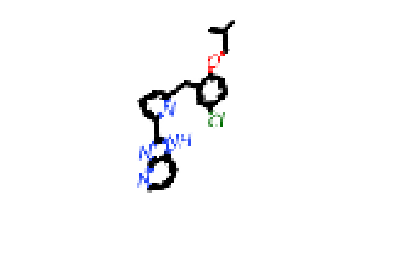 CC(C)COc1ccc(Cl)cc1Cc1cccc(-c2nc3ncccc3[nH]2)n1